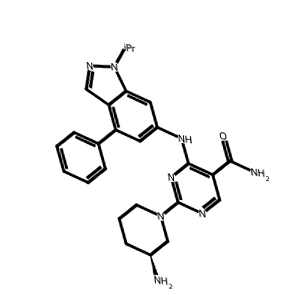 CC(C)n1ncc2c(-c3ccccc3)cc(Nc3nc(N4CCC[C@H](N)C4)ncc3C(N)=O)cc21